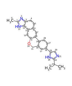 Cc1nc2ccc3cc4c(cc3c2[nH]1)OCc1cc(-c2cnc(C(C)C)[nH]2)ccc1-4